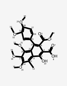 COC(=O)c1c(C(=O)O)c(O)c2c(C)c(OC)c(OC)c(OC)c2c1-c1ccc(OC)c(OC)c1